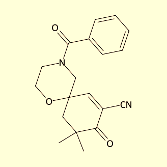 CC1(C)CC2(C=C(C#N)C1=O)CN(C(=O)c1ccccc1)CCO2